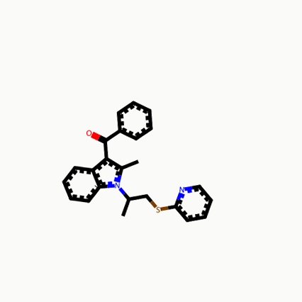 Cc1c(C(=O)c2ccccc2)c2ccccc2n1C(C)CSc1ccccn1